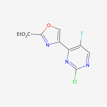 CCOC(=O)c1nc(-c2nc(Cl)ncc2F)co1